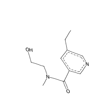 CCc1cncc(C(=O)N(C)CCO)c1